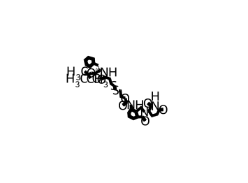 CC(C)(C)OC(=O)[C@H](Cc1ccccc1)NC(=O)CCSSCCOC(=O)Nc1cccc2c1CN(C1CCC(=O)NC1=O)C2=O